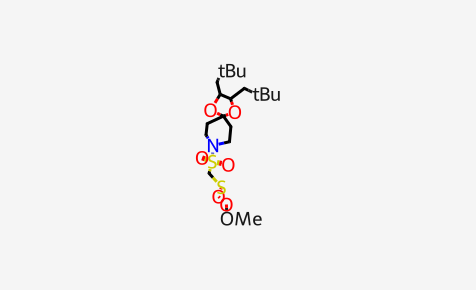 COOOSCS(=O)(=O)N1CCC2(CC1)OC(CC(C)(C)C)C(CC(C)(C)C)O2